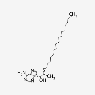 CCCCCCCCCCCCCCCCCCSC(C)C(O)n1cnc2c(N)ncnc21